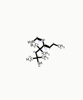 CC/C=C(\N=C/N)C(C)(C)CC(C)(C)S